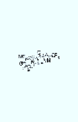 Cn1nc(C(F)(F)F)cc1C(=O)N1CC[C@@]2(C=C(C#N)C(=O)C(C)(C)C2)C1